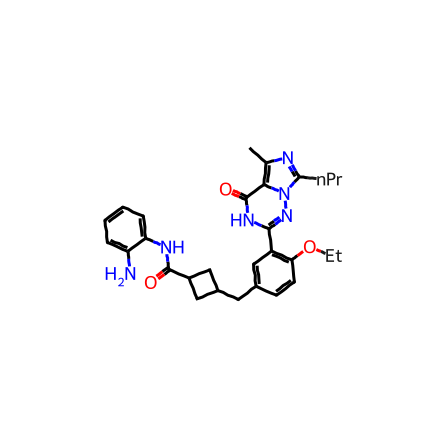 CCCc1nc(C)c2c(=O)[nH]c(-c3cc(CC4CC(C(=O)Nc5ccccc5N)C4)ccc3OCC)nn12